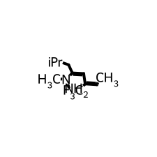 C/C=C(\C=C(\CC(C)C)N(C)N)C(F)(F)F